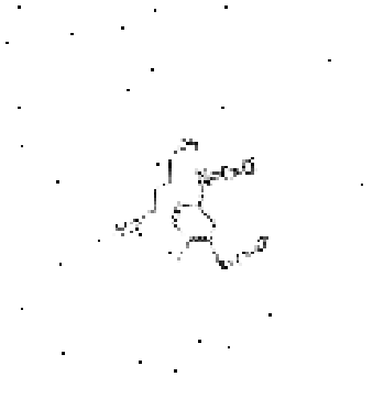 Cc1ccc(N=C=O)cc1N=C=O.OCCCCO